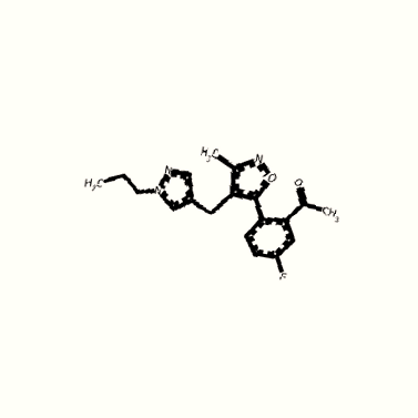 CCCn1cc(Cc2c(C)noc2-c2ccc(F)cc2C(C)=O)cn1